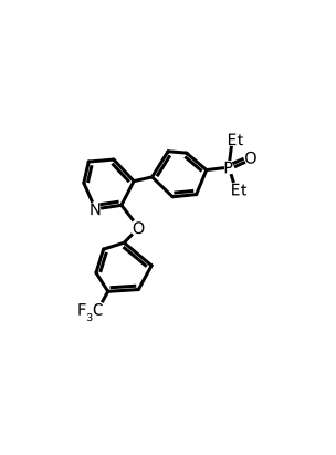 CCP(=O)(CC)c1ccc(-c2cccnc2Oc2ccc(C(F)(F)F)cc2)cc1